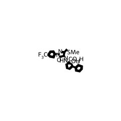 CSCC1=NN(c2ccc(C(F)(F)F)cc2)C(=O)C1=NNC1(C(=O)O)C=CC=C(c2ccccc2)C1O